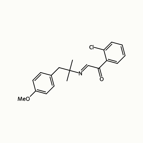 COc1ccc(CC(C)(C)/N=C/C(=O)c2ccccc2Cl)cc1